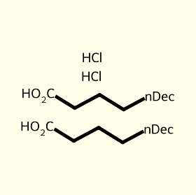 CCCCCCCCCCCCCC(=O)O.CCCCCCCCCCCCCC(=O)O.Cl.Cl